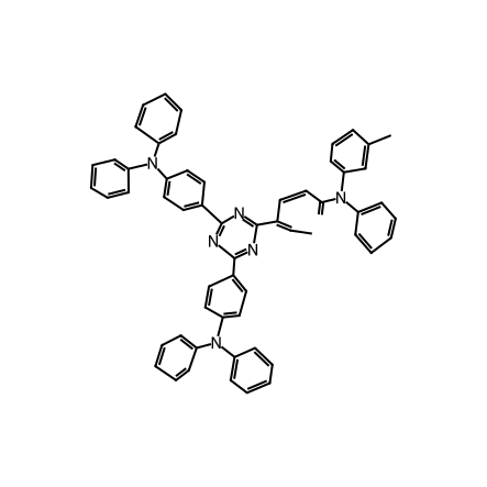 C=C(/C=C\C(=C/C)c1nc(-c2ccc(N(c3ccccc3)c3ccccc3)cc2)nc(-c2ccc(N(c3ccccc3)c3ccccc3)cc2)n1)N(c1ccccc1)c1cccc(C)c1